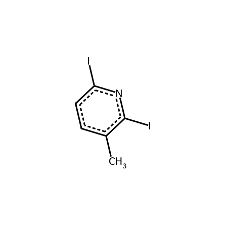 Cc1ccc(I)nc1I